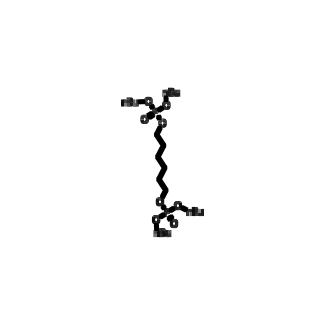 CCCCOP(=O)(OCCCC)OCCCCCCOP(=O)(OCCCC)OCCCC